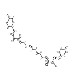 C=C(OSc1ccc(C)cc1)C(=O)OCCOCCOCCOC(=O)C(=C)OSc1ccc(C)cc1